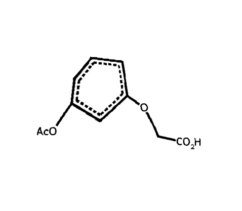 CC(=O)Oc1cccc(OCC(=O)O)c1